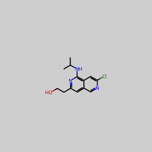 CC(C)Nc1nc(CCO)cc2cnc(Cl)cc12